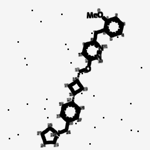 COc1ccccc1Cc1ccc(OC[C@H]2C[C@@H](c3ccc(CN4CCCC4)cc3)C2)nn1